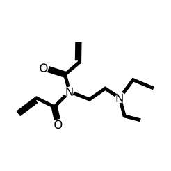 C=CC(=O)N(CCN(CC)CC)C(=O)C=C